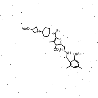 CCN(c1sc(CCNCc2c(C)cc(C)nc2OC)c(C(=O)O)c1C)[C@H]1CC[C@H](N2CC(OC)C2)CC1